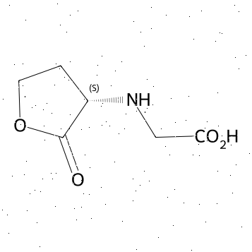 O=C(O)CN[C@H]1CCOC1=O